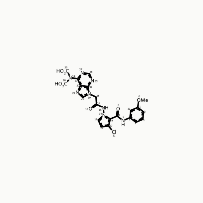 COc1cccc(NC(=O)c2c(Cl)ccn2NC(=O)Cn2cnc3c(N(C(=O)O)C(=O)O)ncnc32)c1